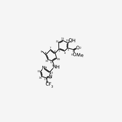 COC(=O)c1cc(-c2cc(C)cc(Nc3nccc(C(F)(F)F)n3)c2)ccc1O